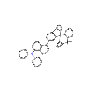 CC1(C)c2ccccc2C2(c3ccccc3-c3ccc(-c4cccc5c(N(c6ccccc6)c6ccccc6)cccc45)cc32)c2ccccc21